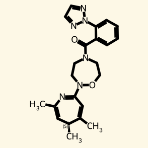 CC1=C[C@H](C)C(C)=CC(N2CCN(C(=O)c3ccccc3-n3nccn3)CCO2)=N1